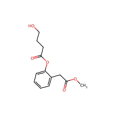 COC(=O)Cc1ccccc1OC(=O)CCCO